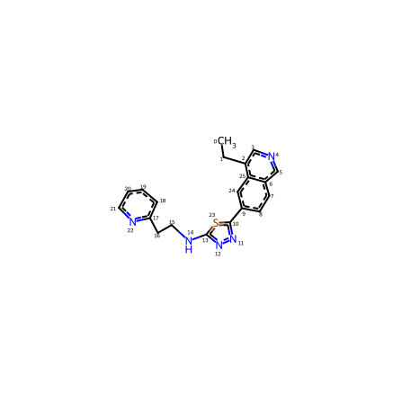 CCc1cncc2ccc(-c3nnc(NCCc4ccccn4)s3)cc12